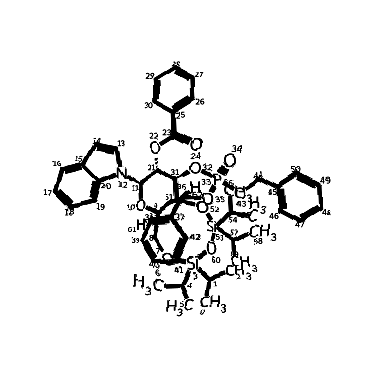 CC(C)[Si]1(C(C)C)OC[C@H]2O[C@@H](n3ccc4ccccc43)[C@H](OC(=O)c3ccccc3)[C@@H](OP(=O)(OCc3ccccc3)OCc3ccccc3)[C@@H]2O[Si](C(C)C)(C(C)C)O1